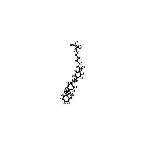 C=C(C)C(=O)OCCCCCCN(C)c1ccc(/N=N/c2ccc(S(=O)(=O)c3ccccc3)cc2)cc1